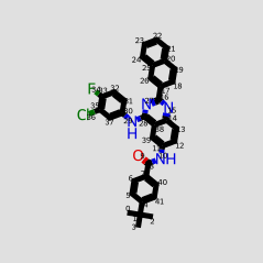 CC(C)(C)c1ccc(C(=O)Nc2ccc3nc(-c4ccc5ccccc5c4)nc(Nc4ccc(F)c(Cl)c4)c3c2)cc1